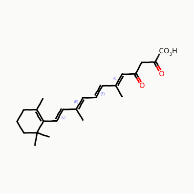 CC1=C(/C=C/C(C)=C/C=C/C(C)=C/C(=O)CC(=O)C(=O)O)C(C)(C)CCC1